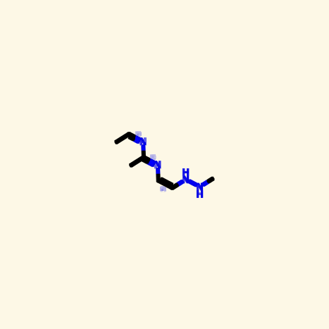 C\C=N/C(C)=N/C=C\NNC